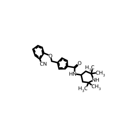 CC1(C)CC(NC(=O)c2ccc(COc3ccccc3C#N)cc2)CC(C)(C)N1